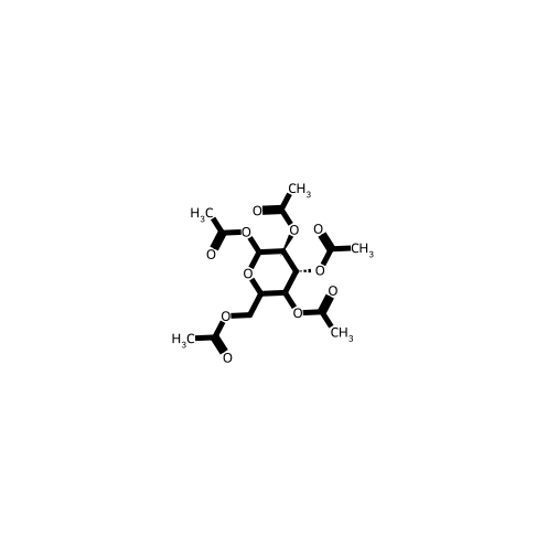 CC(=O)OCC1OC(OC(C)=O)[C@@H](OC(C)=O)[C@H](OC(C)=O)C1OC(C)=O